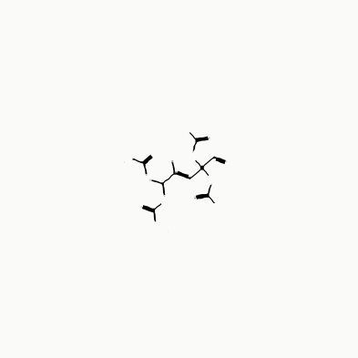 C=CC(C=C(C)C(OC(C)=O)OC(C)=O)(OC(C)=O)OC(C)=O